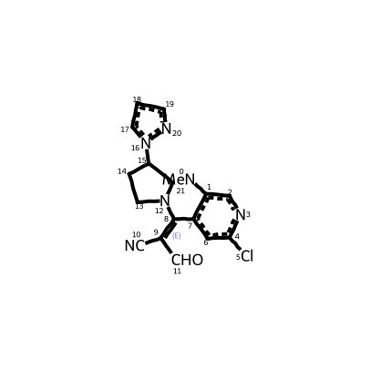 CNc1cnc(Cl)cc1/C(=C(/C#N)C=O)N1CCC(n2cccn2)C1